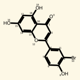 O=c1cc(-c2ccc(O)c(Br)c2)oc2cc(O)cc(O)c12